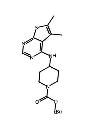 Cc1sc2ncnc(NC3CCN(C(=O)OC(C)(C)C)CC3)c2c1C